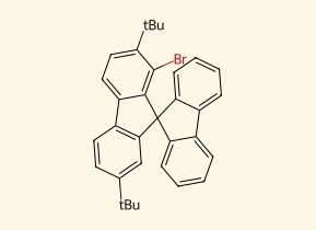 CC(C)(C)c1ccc2c(c1)C1(c3ccccc3-c3ccccc31)c1c-2ccc(C(C)(C)C)c1Br